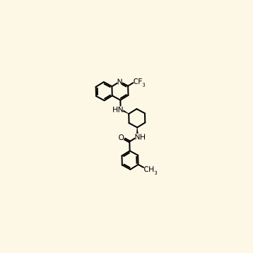 Cc1cccc(C(=O)N[C@@H]2CCC[C@H](Nc3cc(C(F)(F)F)nc4ccccc34)C2)c1